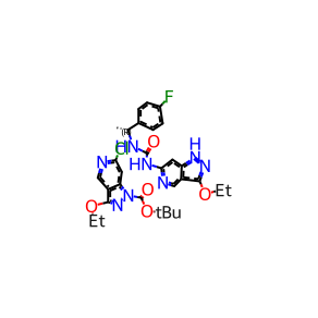 CCOc1n[nH]c2cc(NC(=O)N[C@H](C)c3ccc(F)cc3)ncc12.CCOc1nn(C(=O)OC(C)(C)C)c2cc(Cl)ncc12